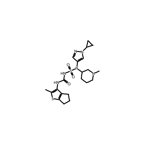 Cc1sc2c(c1NC(=O)NS(=O)(=O)N(c1cnn(C3CC3)c1)C1CCCN(C)C1)CCC2